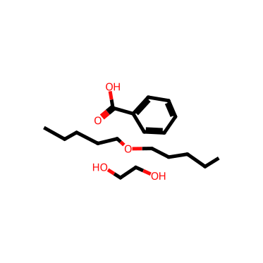 CCCCCOCCCCC.O=C(O)c1ccccc1.OCCO